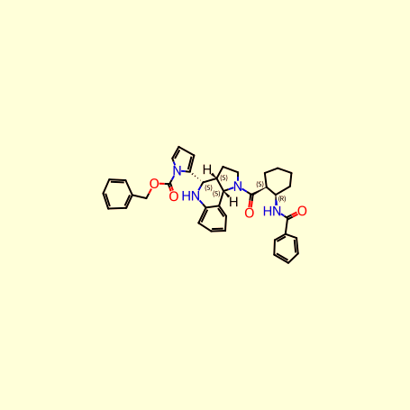 O=C(N[C@@H]1CCCC[C@@H]1C(=O)N1CC[C@H]2[C@@H](c3cccn3C(=O)OCc3ccccc3)Nc3ccccc3[C@H]21)c1ccccc1